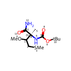 COC(CSC)[C@](C)(NC(=O)OC(C)(C)C)C(N)=O